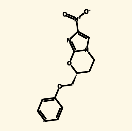 O=[N+]([O-])c1cn2c(n1)O[C@@H](COc1cc[c]cc1)CC2